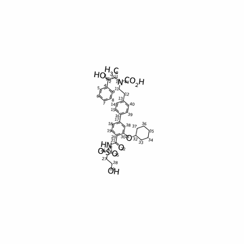 C[C@@H]([C@H](O)c1ccccc1)N(CCc1ccc(-c2ccc(C(=O)NS(=O)(=O)CCO)c(OC3CCCCC3)c2)cc1)C(=O)O